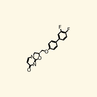 O=c1ccn2c(n1)O[C@H](COc1ccc(-c3ccc(F)c(F)c3)cc1)C2